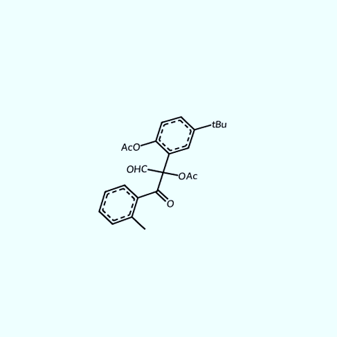 CC(=O)Oc1ccc(C(C)(C)C)cc1C(C=O)(OC(C)=O)C(=O)c1ccccc1C